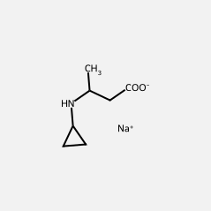 CC(CC(=O)[O-])NC1CC1.[Na+]